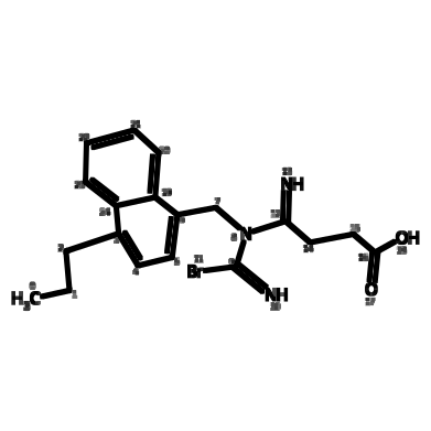 CCCc1ccc(CN(C(=N)Br)C(=N)CCC(=O)O)c2ccccc12